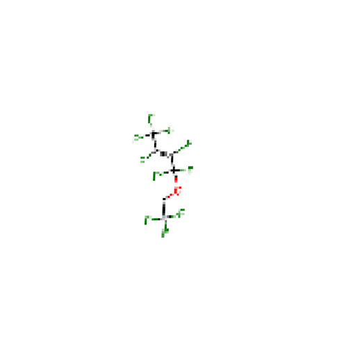 FC(=C(F)C(F)(F)OCC(F)(F)F)C(F)(F)F